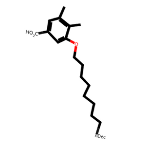 CCCCCCCCCCCCCCCCCCOc1cc(C(=O)O)cc(C)c1C